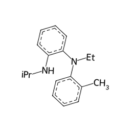 CCN(c1ccccc1C)c1ccccc1NC(C)C